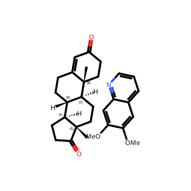 COc1cc2cccnc2cc1OC.C[C@]12CCC(=O)C=C1CC[C@@H]1[C@@H]2CC[C@]2(C)C(=O)CC[C@@H]12